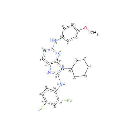 COc1ccc(Nc2ncc3nc(Nc4ccc(F)cc4F)n(C4CCCCC4)c3n2)cc1